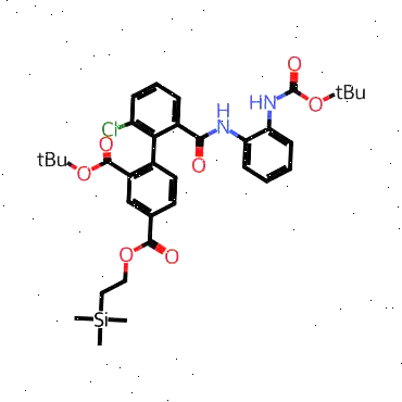 CC(C)(C)OC(=O)Nc1ccccc1NC(=O)c1cccc(Cl)c1-c1ccc(C(=O)OCC[Si](C)(C)C)cc1C(=O)OC(C)(C)C